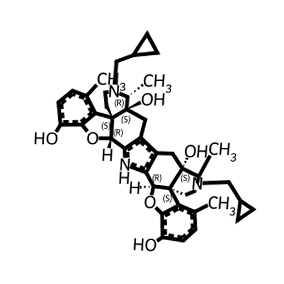 Cc1ccc(O)c2c1[C@]13CCN(CC4CC4)C(C)[C@]1(O)Cc1c([nH]c4c1C[C@@]1(O)[C@@H](C)N(CC5CC5)CC[C@@]15c1c(C)ccc(O)c1O[C@@H]45)[C@@H]3O2